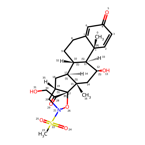 C[C@]12C=CC(=O)C=C1CC[C@@H]1[C@@H]2[C@@H](O)C[C@@]2(C)[C@H]1C[C@H]1CN(S(C)(=O)=O)O[C@]12C(=O)CO